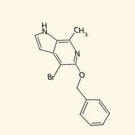 Cc1nc(OCc2ccccc2)c(Br)c2cc[nH]c12